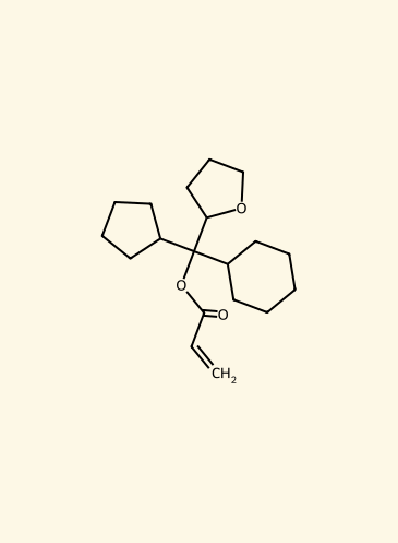 C=CC(=O)OC(C1CCCCC1)(C1CCCC1)C1CCCO1